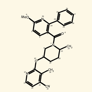 COc1ccc(C(=O)N2CC(Oc3nccc(C#N)c3C)CCC2C)c(-c2ccccc2)n1